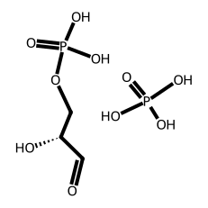 O=C[C@H](O)COP(=O)(O)O.O=P(O)(O)O